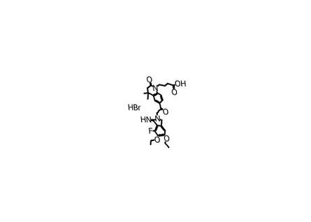 Br.CCOc1cc2c(c(F)c1OCC)C(=N)N(CC(=O)c1ccc3c(c1)C(C)(C)CC(=O)N3CCCC(=O)O)C2